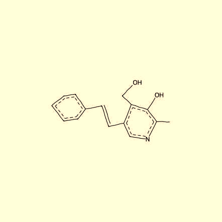 Cc1ncc(/C=C/c2ccccc2)c(CO)c1O